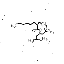 CCCCCCC(CC)C(=O)OC(CC(C)C)CC(C)C